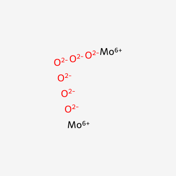 [Mo+6].[Mo+6].[O-2].[O-2].[O-2].[O-2].[O-2].[O-2]